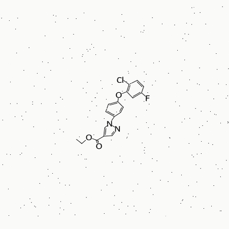 CCOC(=O)c1cnn(-c2ccc(Oc3cc(F)ccc3Cl)cc2)c1